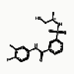 Cc1cc(NC(=O)c2cccc(S(=O)(=O)N[C@H](C)CO)c2)ccc1F